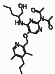 CCCc1c(C)cnc(COc2cnc(N(C(C)=O)C(C)=O)nc2NC(CO)CCC)c1C